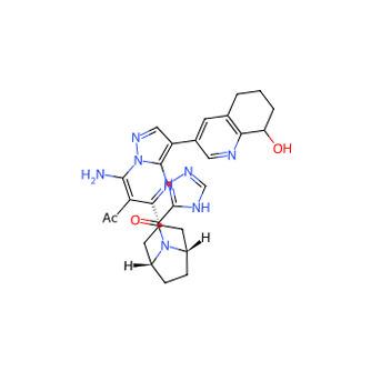 CC(=O)c1c([C@H]2C[C@H]3CC[C@@H](C2)N3C(=O)c2nnc[nH]2)nc2c(-c3cnc4c(c3)CCCC4O)cnn2c1N